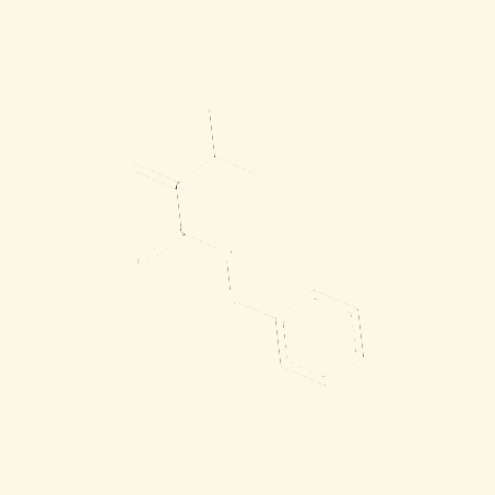 C=C(C(=O)OSc1ccccc1)C(C)C